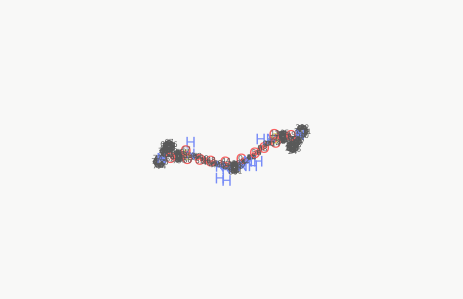 O=C(NCCOCCOCCNS(=O)(=O)c1ccc(O[C@H]2c3ccccc3CC2N2CCCCC2)cc1)Nc1ccc(NC(=O)NCCOCCOCCNS(=O)(=O)c2ccc(O[C@H]3c4ccccc4CC3N3CCCCC3)cc2)cc1